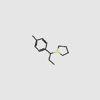 CCC(c1ccc(C)cc1)[S+]1CCCC1